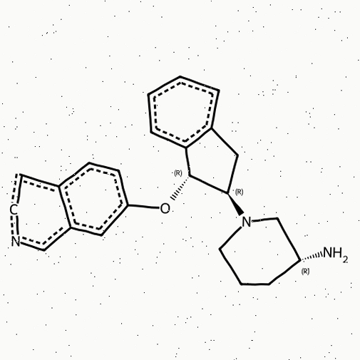 N[C@@H]1CCCN([C@@H]2Cc3ccccc3[C@H]2Oc2ccc3ccncc3c2)C1